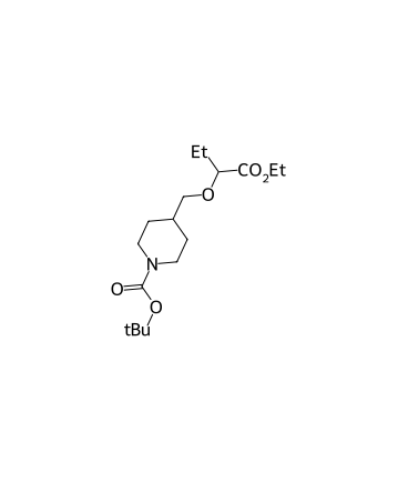 CCOC(=O)C(CC)OCC1CCN(C(=O)OC(C)(C)C)CC1